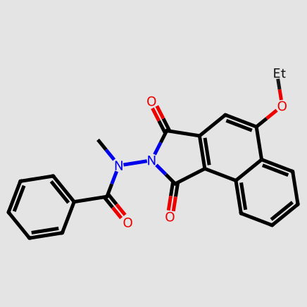 CCOc1cc2c(c3ccccc13)C(=O)N(N(C)C(=O)c1ccccc1)C2=O